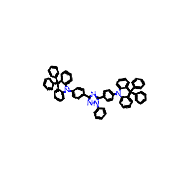 c1ccc(-n2nc(-c3ccc(N4c5ccccc5C(c5ccccc5)(c5ccccc5)c5ccccc54)cc3)nc2-c2ccc(N3c4ccccc4C(c4ccccc4)(c4ccccc4)c4ccccc43)cc2)cc1